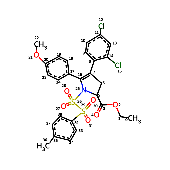 CCOC(=O)C1CC(c2ccc(Cl)cc2Cl)=C(c2ccc(OC)cc2)N1S(=O)(=O)S(=O)(=O)c1ccc(C)cc1